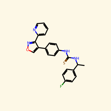 CC(NC(=S)Nc1ccc(-c2conc2-c2ccccn2)cc1)c1ccc(F)cc1